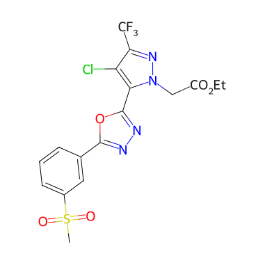 CCOC(=O)Cn1nc(C(F)(F)F)c(Cl)c1-c1nnc(-c2cccc(S(C)(=O)=O)c2)o1